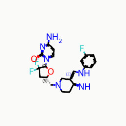 N=C1CCN(C[C@@H]2CC(F)(F)[C@H](n3ccc(N)nc3=O)O2)C/C1=C/Nc1cccc(F)c1